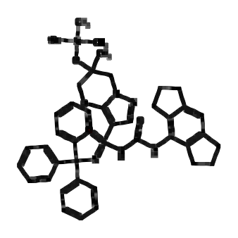 CC1(O[Si](C)(C)C(C)(C)C)COc2c(S(=O)(=NC(c3ccccc3)(c3ccccc3)c3ccccc3)NC(=O)Nc3c4c(cc5c3CCC5)CCC4)cnn2C1